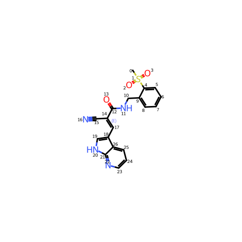 CS(=O)(=O)c1ccccc1CNC(=O)/C(C#N)=C/c1c[nH]c2ncccc12